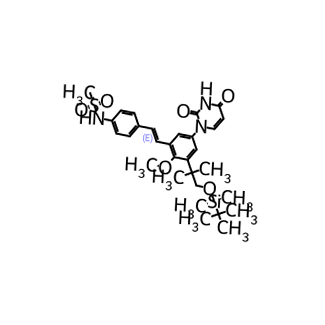 COc1c(/C=C/c2ccc(NS(C)(=O)=O)cc2)cc(-n2ccc(=O)[nH]c2=O)cc1C(C)(C)CO[Si](C)(C)C(C)(C)C